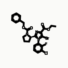 CCOC(=O)c1nc([C@H]2CCCN2C(=O)OCc2ccccc2)n(-c2cccc(Cl)c2F)c1Br